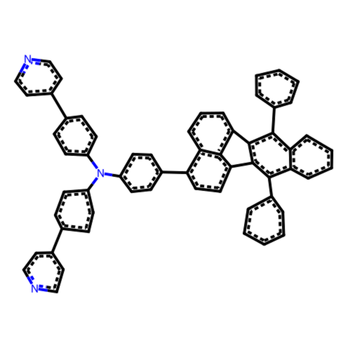 c1ccc(-c2c3c(c(-c4ccccc4)c4ccccc24)-c2ccc(-c4ccc(N(c5ccc(-c6ccncc6)cc5)c5ccc(-c6ccncc6)cc5)cc4)c4cccc-3c24)cc1